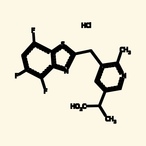 Cc1ncc(C(C)C(=O)O)cc1Cc1nc2c(F)c(F)cc(F)c2s1.Cl